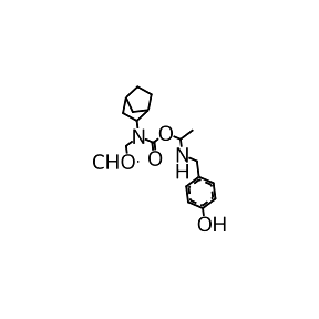 CC(NCc1ccc(O)cc1)OC(=O)N(C[C]=O)C1CC2CCC1C2